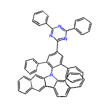 c1ccc(-c2nc(-c3ccccc3)nc(-c3cc(-c4ccccc4)c(-n4c5cc6ccccc6cc5c5ccc6ccccc6c54)c(-c4ccccc4)c3)n2)cc1